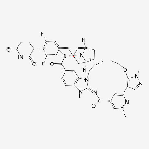 Cc1cc2cc(n1)-c1cnn(C)c1OCCC[C@@H](C)CN1/C(=N/C2=O)Nc2ccc(C(=O)N(C)[C@@H]3C[C@H]4CC[C@@H](C3)N4CCc3cc(F)c([C@H]4CCC(=O)NC4=O)c(F)c3)cc21